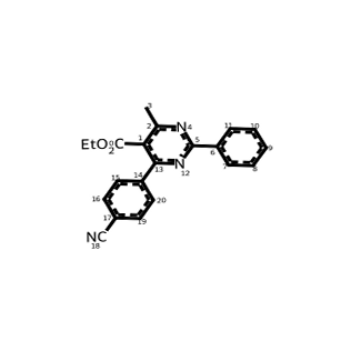 CCOC(=O)c1c(C)nc(-c2ccccc2)nc1-c1ccc(C#N)cc1